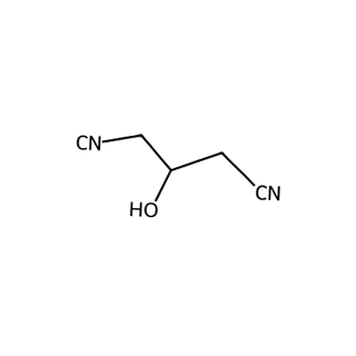 [C-]#[N+]CC(O)CC#N